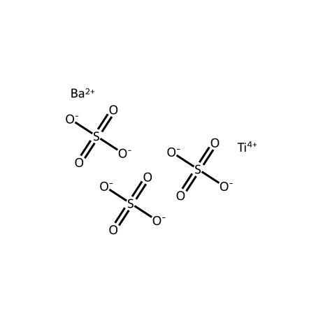 O=S(=O)([O-])[O-].O=S(=O)([O-])[O-].O=S(=O)([O-])[O-].[Ba+2].[Ti+4]